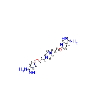 N=C(N)c1ccc(OCCCN2CCN(CCCOc3ccc(C(=N)N)cn3)CC2)nc1